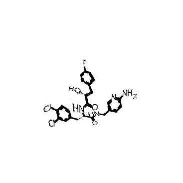 Nc1ccc(CNC(=O)[C@H](Cc2ccc(Cl)c(Cl)c2)NC(=O)[C@H](O)Cc2ccc(F)cc2)cn1